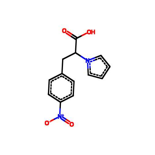 O=C(O)C(Cc1ccc([N+](=O)[O-])cc1)n1cccc1